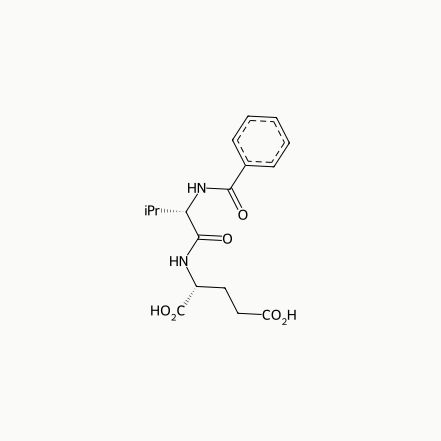 CC(C)[C@H](NC(=O)c1ccccc1)C(=O)N[C@H](CCC(=O)O)C(=O)O